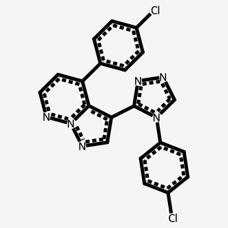 Clc1ccc(-c2ccnn3ncc(-c4nncn4-c4ccc(Cl)cc4)c23)cc1